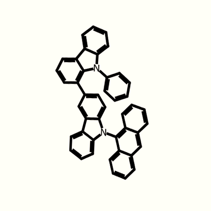 c1ccc(-n2c3ccccc3c3cccc(-c4ccc5c(c4)c4ccccc4n5-c4c5ccccc5cc5ccccc45)c32)cc1